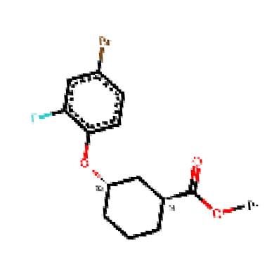 CC(C)OC(=O)[C@H]1CCC[C@H](Oc2ccc(Br)cc2F)C1